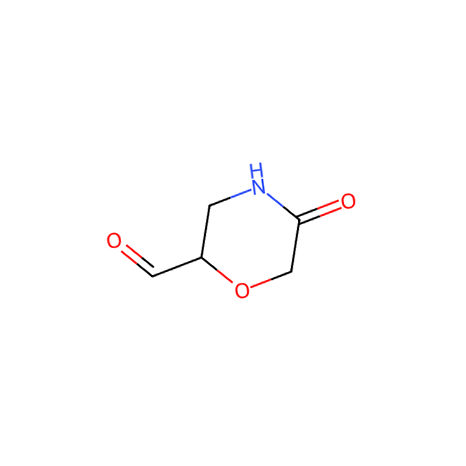 O=CC1CNC(=O)CO1